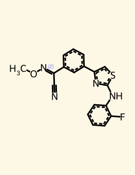 CO/N=C(\C#N)c1cccc(-c2csc(Nc3ccccc3F)n2)c1